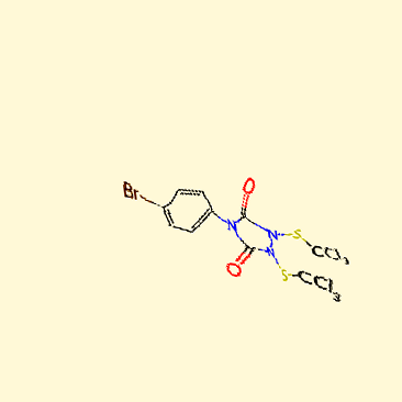 O=c1n(-c2ccc(Br)cc2)c(=O)n(SC(Cl)(Cl)Cl)n1SC(Cl)(Cl)Cl